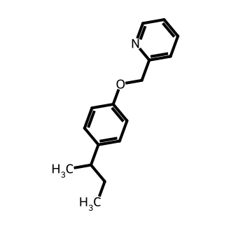 CCC(C)c1ccc(OCc2ccccn2)cc1